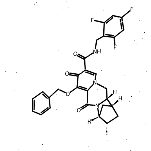 C[C@H]1C[C@@H]2C[C@H]1N1C(=O)c3c(OCc4ccccc4)c(=O)c(C(=O)NCc4c(F)cc(F)cc4F)cn3C[C@H]21